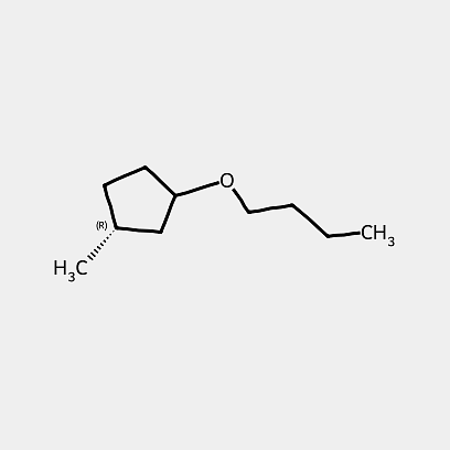 CCCCOC1CC[C@@H](C)C1